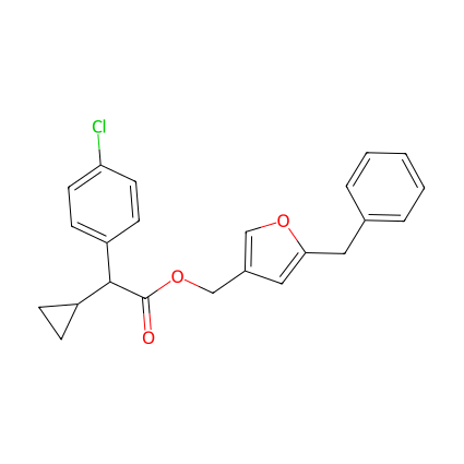 O=C(OCc1coc(Cc2ccccc2)c1)C(c1ccc(Cl)cc1)C1CC1